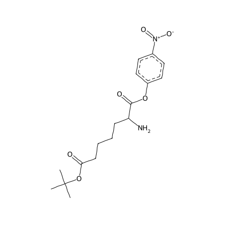 CC(C)(C)OC(=O)CCCCC(N)C(=O)Oc1ccc([N+](=O)[O-])cc1